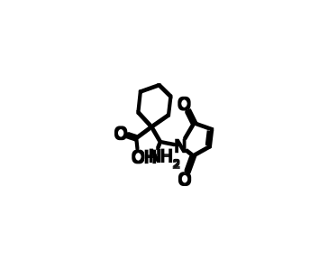 NC(N1C(=O)C=CC1=O)C1(C(=O)O)CCCCC1